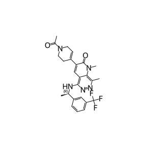 CC(=O)N1CC=C(c2cc3c(N[C@H](C)c4cccc(C(F)(F)F)c4)nnc(C)c3n(C)c2=O)CC1